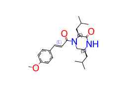 COc1ccc(/C=C/C(=O)N2C[C@H](CC(C)C)NC(=O)[C@@H]2CC(C)C)cc1